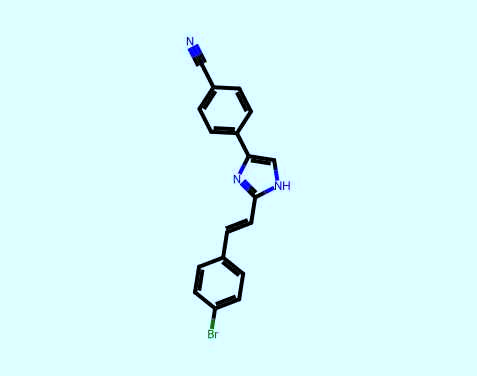 N#Cc1ccc(-c2c[nH]c(C=Cc3ccc(Br)cc3)n2)cc1